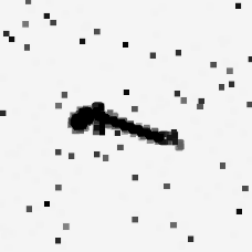 CCCCCCCCCCCCCCCNC(=O)c1ccc2ccccc2c1